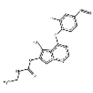 CCNC(=O)Oc1cn2ncnc(Oc3ccc(N=O)cc3F)c2c1C